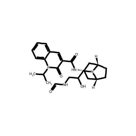 CC(C)n1c(=O)c(C(=O)N[C@H]2C[C@H]3CC[C@@H](C2)N3CC(O)CNC=O)cc2ccccc21